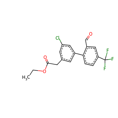 CCOC(=O)Cc1cc(Cl)cc(-c2ccc(C(F)(F)F)cc2C=O)c1